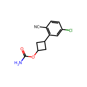 N#Cc1ccc(Cl)cc1C1CC(OC(N)=O)C1